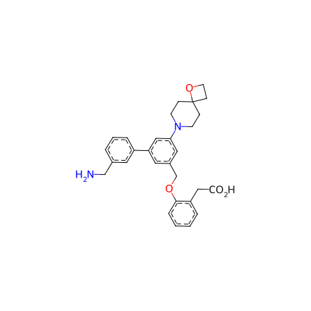 NCc1cccc(-c2cc(COc3ccccc3CC(=O)O)cc(N3CCC4(CCO4)CC3)c2)c1